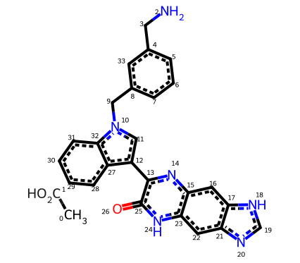 CC(=O)O.NCc1cccc(Cn2cc(-c3nc4cc5[nH]cnc5cc4[nH]c3=O)c3ccccc32)c1